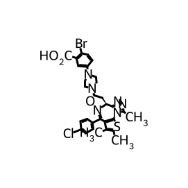 Cc1sc2c(c1C)C(c1ccc(Cl)cc1)=N[C@@H](CC(=O)N1CCN(c3ccc(Br)c(C(=O)O)c3)CC1)c1nnc(C)n1-2